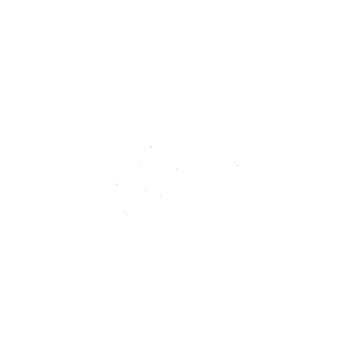 Cl.Cl.N=C(N)c1ccc(CCCN)cc1